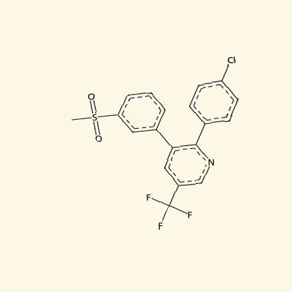 CS(=O)(=O)c1cccc(-c2cc(C(F)(F)F)cnc2-c2ccc(Cl)cc2)c1